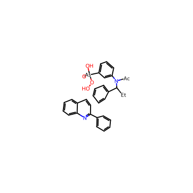 CCC(c1ccccc1)N(C(C)=O)c1cccc([As](=O)(O)OO)c1.c1ccc(-c2ccc3ccccc3n2)cc1